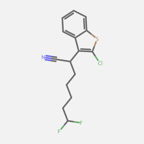 N#CC(CCCCC(F)F)c1c(Cl)sc2ccccc12